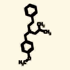 COc1ccc(CN(CCc2ccccc2)CC(C)C)cc1